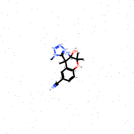 Cn1nnnc1C1(C)c2cc(C#N)ccc2OC(C)(C)C1(N)O